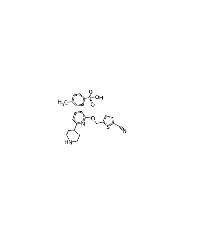 Cc1ccc(S(=O)(=O)O)cc1.N#Cc1ccc(COc2cccc(C3CCNCC3)n2)s1